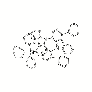 c1ccc(-c2ccccc2-n2c3ccccc3c3c(-c4ccccc4)ccc(-n4c5ccccc5c5c([Si](c6ccccc6)(c6ccccc6)c6ccccc6)cccc54)c32)cc1